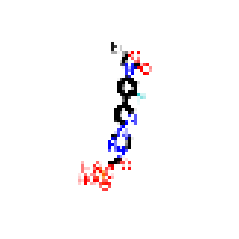 CC[C@H]1CN(c2ccc(-c3ccc(N4C=NN(C(=O)COP(=O)(O)O)CC4)nc3)c(F)c2)C(=O)O1